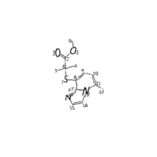 COC(=O)C(C)(C)Sc1ccc(C)n2ccnc12